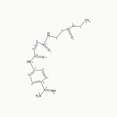 CCOC(=O)CCNC(=O)/C=C\C(=O)Nc1ccc(C(=N)N)cc1